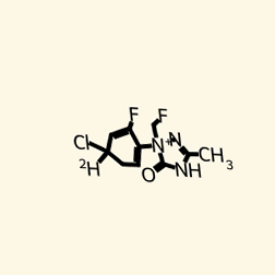 [2H]C1(Cl)C=C(F)C([N+]2(CF)N=C(C)NC2=O)=CC1